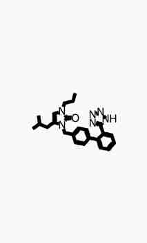 CCCn1cc(CC(C)C)n(Cc2ccc(-c3ccccc3-c3nnn[nH]3)cc2)c1=O